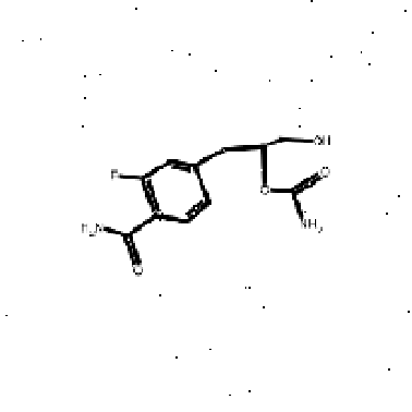 NC(=O)O[C@H](CO)Cc1ccc(C(N)=O)c(F)c1